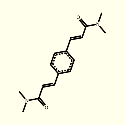 CN(C)C(=O)C=Cc1ccc(C=CC(=O)N(C)C)cc1